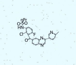 CCCS(=O)(=O)Nc1ccc(F)c(C(=O)c2ccc3ncc(-c4ccc(C)nc4)nc3c2)c1Cl